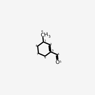 CC1C=C(C=O)CCC1